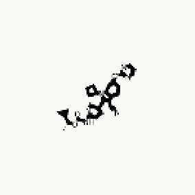 C[C@@H](OC(=O)Nc1ccc(-c2c(C#N)c3ccc(Oc4ncccn4)cc3n2C2CCC2)cn1)C1CC1